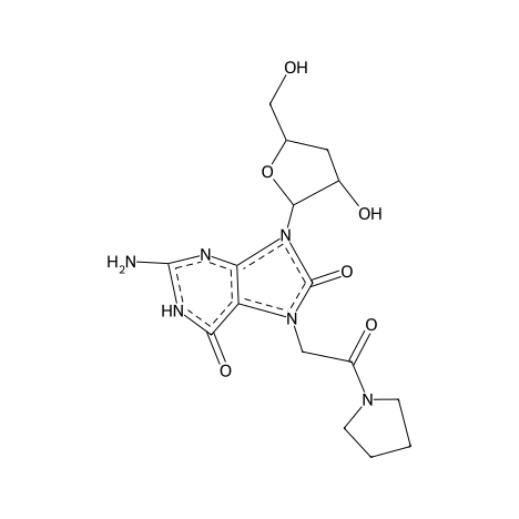 Nc1nc2c(c(=O)[nH]1)n(CC(=O)N1CCCC1)c(=O)n2C1OC(CO)CC1O